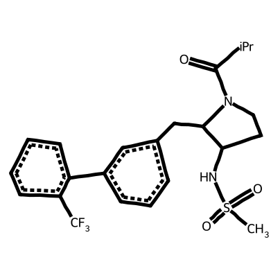 CC(C)C(=O)N1CCC(NS(C)(=O)=O)C1Cc1cccc(-c2ccccc2C(F)(F)F)c1